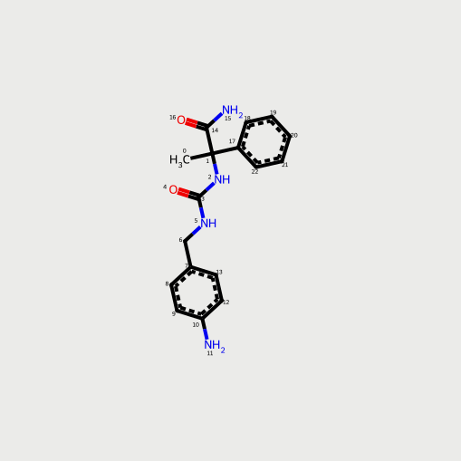 CC(NC(=O)NCc1ccc(N)cc1)(C(N)=O)c1ccccc1